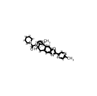 Cc1cnc(-c2nc3cc4c(cc3o2)[C@]2(C)CCN(C(=O)N3CCCCC3)[C@H](C4)[C@H]2C)cn1